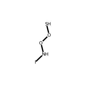 SOONI